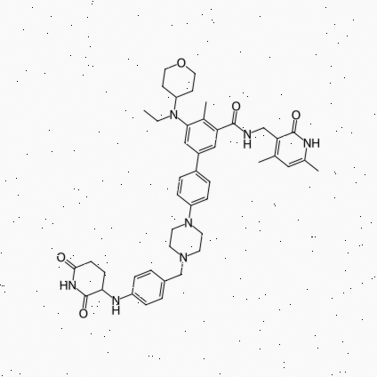 CCN(c1cc(-c2ccc(N3CCN(Cc4ccc(NC5CCC(=O)NC5=O)cc4)CC3)cc2)cc(C(=O)NCc2c(C)cc(C)[nH]c2=O)c1C)C1CCOCC1